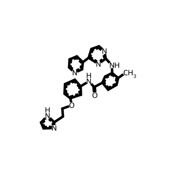 Cc1ccc(C(=O)Nc2cccc(OCCc3ncc[nH]3)c2)cc1Nc1nccc(-c2cccnc2)n1